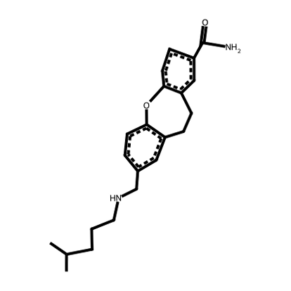 CC(C)CCCNCc1ccc2c(c1)CCc1cc(C(N)=O)ccc1O2